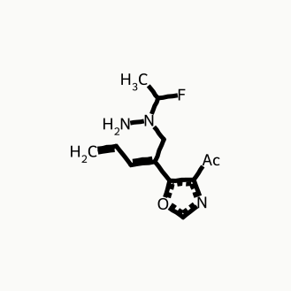 C=C/C=C(\CN(N)C(C)F)c1ocnc1C(C)=O